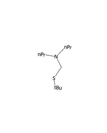 CCCN(CCC)CSC(C)(C)C